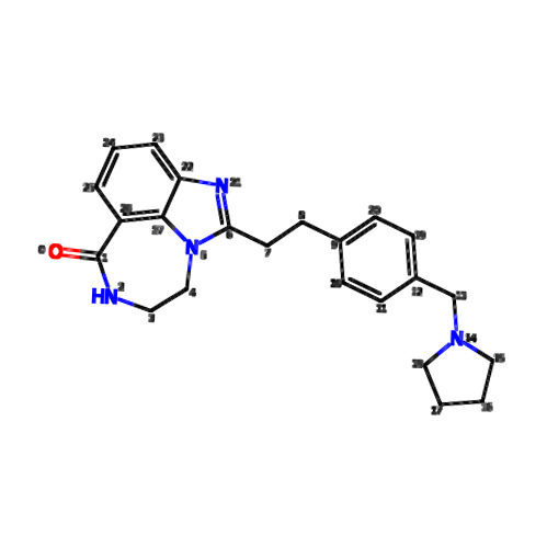 O=C1NCCn2c(CCc3ccc(CN4CCCC4)cc3)nc3cccc1c32